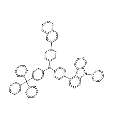 c1ccc(-n2c3ccccc3c3c(-c4ccc(N(c5ccc(-c6ccc7ccccc7c6)cc5)c5ccc(S(c6ccccc6)(c6ccccc6)c6ccccc6)cc5)cc4)cccc32)cc1